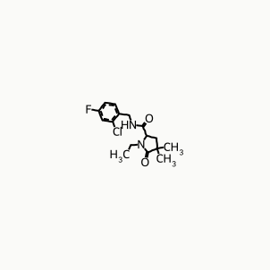 CCN1C(=O)C(C)(C)CC1C(=O)NCc1ccc(F)cc1Cl